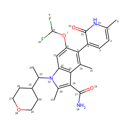 Cc1ccc(-c2c(OC(F)F)cc3c(c2C)c(C(N)=O)c(C)n3C(C)C2CCOCC2)c(=O)[nH]1